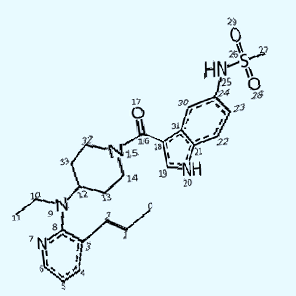 CCCc1cccnc1N(CC)C1CCN(C(=O)c2c[nH]c3ccc(NS(C)(=O)=O)cc23)CC1